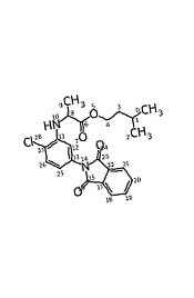 CC(C)CCOC(=O)C(C)Nc1cc(N2C(=O)c3ccccc3C2=O)ccc1Cl